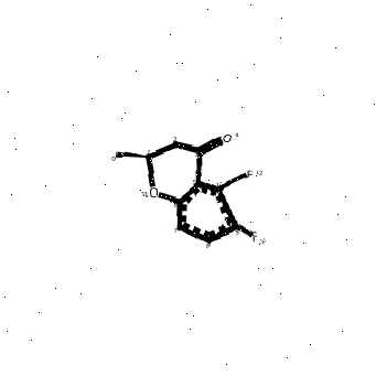 C[C@H]1CC(=O)c2c(ccc(F)c2F)O1